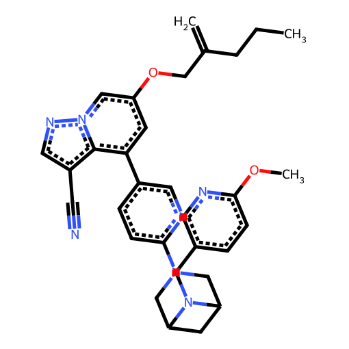 C=C(CCC)COc1cc(-c2ccc(N3CC4CC(C3)N4Cc3ccc(OC)nc3)nc2)c2c(C#N)cnn2c1